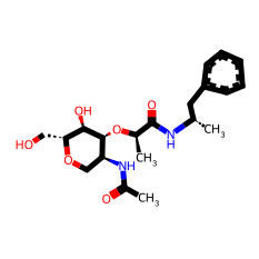 CC(=O)N[C@H]1CO[C@H](CO)[C@@H](O)[C@@H]1O[C@H](C)C(=O)N[C@@H](C)Cc1ccccc1